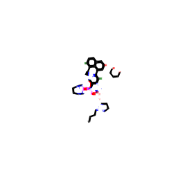 C#Cc1c(F)ccc2cc(OC3CCCCO3)cc(-c3ncc4c(N5CC6CCC(C5)N6C(=O)OC(C)(C)C)nc(OC[C@@H]5CCCN5CCCCC(=O)O)nc4c3F)c12